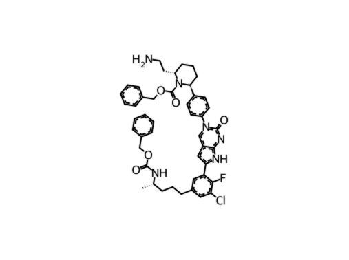 C[C@@H](CCCc1cc(Cl)c(F)c(-c2cc3cn(-c4ccc([C@@H]5CCC[C@@H](CCN)N5C(=O)OCc5ccccc5)cc4)c(=O)nc3[nH]2)c1)NC(=O)OCc1ccccc1